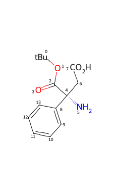 CC(C)(C)OC(=O)[C@@](N)(CC(=O)O)c1ccccc1